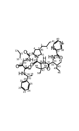 CCC[C@@H]1C[C@@H](C(=O)N[C@@H](CCC)C(=O)C(=O)N[C@@H](C)c2ccccc2)N(C(=O)[C@@H](NC(=O)[C@@H](NC(=O)c2cnccn2)C(C)CC)C(C)(C)C)C1